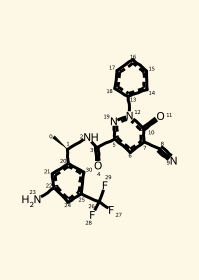 C[C@@H](NC(=O)c1cc(C#N)c(=O)n(-c2ccccc2)n1)c1cc(N)cc(C(F)(F)F)c1